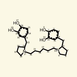 Oc1ccc(CC2CCCN2CCCCCCN2CCCC2Cc2ccc(O)c(O)c2)cc1O